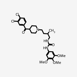 COc1cc(NC(=O)NCC(C)CCN2CCC(C(=O)c3ccc(Cl)c(Cl)c3)CC2)cc(OC)c1OC